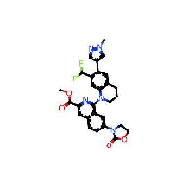 COC(=O)c1cc2ccc(N3CCOC3=O)cc2c(N2CCCc3cc(-c4cnn(C)c4)c(C(F)F)cc32)n1